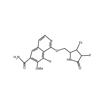 CCC1C(COc2nccc3cc(C(N)=O)c(OC)c(F)c23)NC(=O)C1F